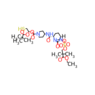 CCOC(=O)C(C)(C)COS(=O)(=O)ON1C(=O)N2C[C@H]1CC[C@H]2C(=O)NC1CCN(C(=O)OC(CS)OC(=O)C(C)(C)C)CC1